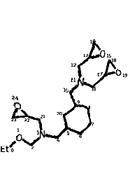 CCOCN(CC1CCCC(CN(CC2CO2)CC2CO2)C1)CC1CO1